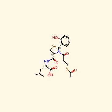 CC(=O)SCCC(=O)N1[C@@H](c2ccccc2O)SC[C@H]1C(=O)N[C@@H](CC(C)C)C(=O)O